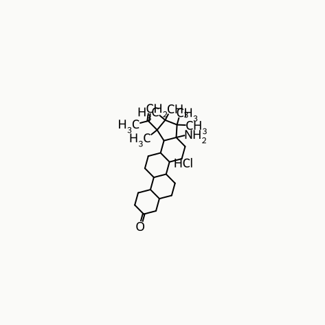 C=C(C)C1(C)C2C3CCC4C5CCC(=O)CC5CCC4C3CCC2(N)C(C)(C)C1(C)C.Cl